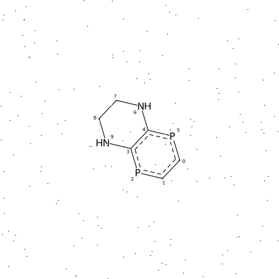 c1cpc2c(p1)NCCN2